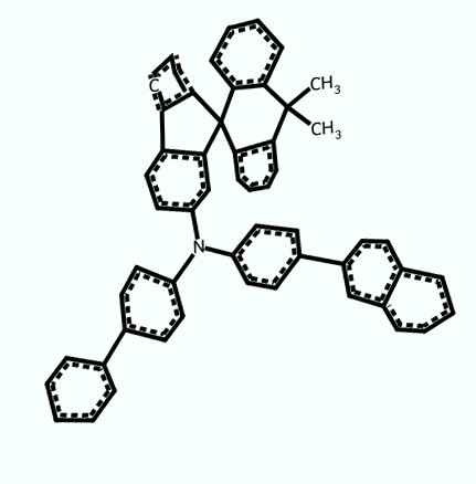 CC1(C)c2ccccc2C2(c3ccccc3-c3ccc(N(c4ccc(-c5ccccc5)cc4)c4ccc(-c5ccc6ccccc6c5)cc4)cc32)c2ccccc21